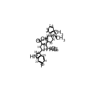 CN(C)C1(c2ccccc2)CCC(NC(CCc2c[nH]c3cc(F)ccc23)C(=O)O)CC1.Cl.Cl